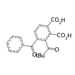 CC(C)(C)C(=O)c1c(C(=O)c2ccccc2)ccc(C(=O)O)c1C(=O)O